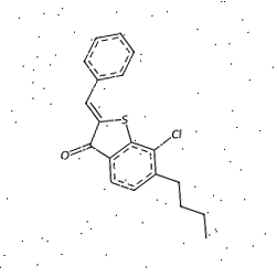 CCCCc1ccc2c(c1Cl)SC(=Cc1ccccc1)C2=O